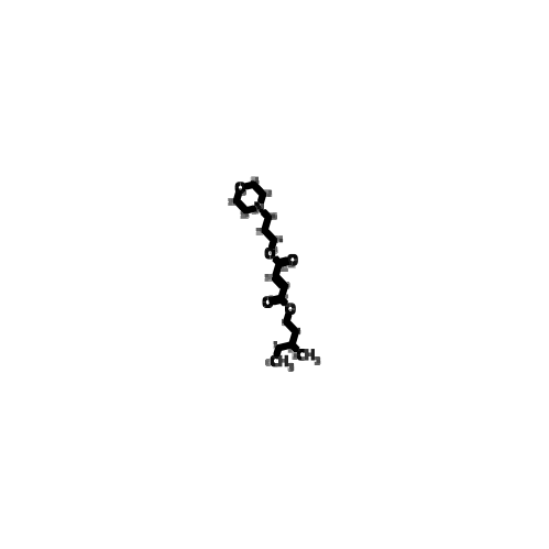 CCC(C)CCOC(=O)/C=C/C(=O)OCCCN1CCOCC1